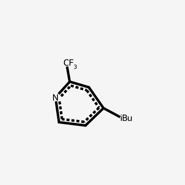 [CH2]C(CC)c1ccnc(C(F)(F)F)c1